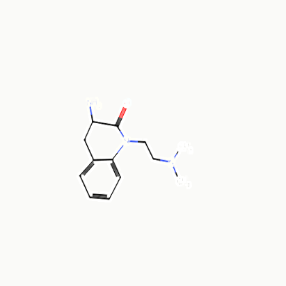 CN(C)CCN1C(=O)C(N)Cc2ccccc21